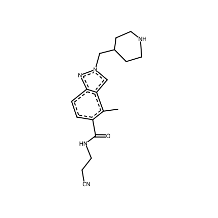 Cc1c(C(=O)NCCC#N)ccc2nn(CC3CCNCC3)cc12